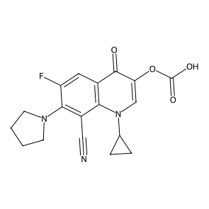 N#Cc1c(N2CCCC2)c(F)cc2c(=O)c(OC(=O)O)cn(C3CC3)c12